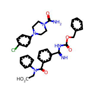 N=C(NC(=O)OCc1ccccc1)c1cccc(C(=O)N(CC(=O)O)c2ccccc2)c1.NC(=O)N1CCN(c2ccc(Cl)cc2)CC1